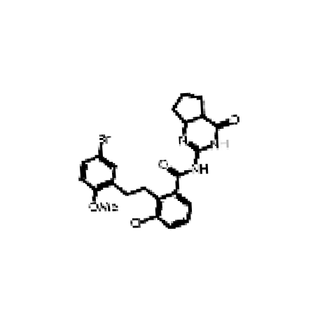 COc1ccc(Br)cc1CCc1c(Cl)cccc1C(=O)NC1=NC2CCCC2C(=O)N1